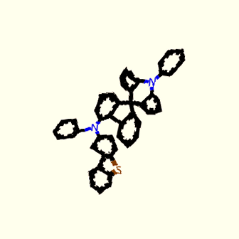 c1ccc(N(c2ccc3sc4ccccc4c3c2)c2cccc3c2-c2ccccc2C32c3ccccc3N(c3ccccc3)c3ccccc32)cc1